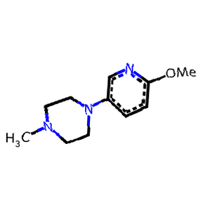 COc1ccc(N2CCN(C)CC2)cn1